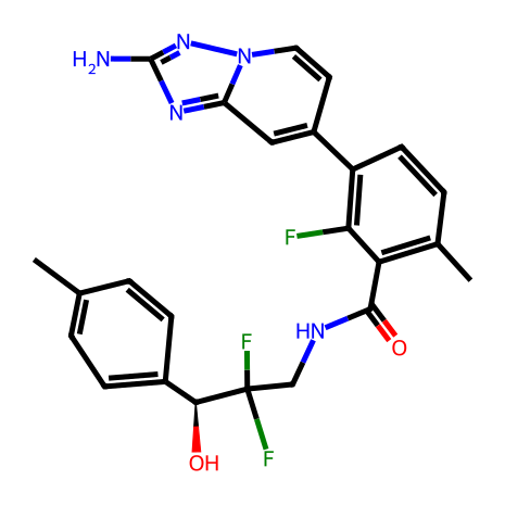 Cc1ccc([C@H](O)C(F)(F)CNC(=O)c2c(C)ccc(-c3ccn4nc(N)nc4c3)c2F)cc1